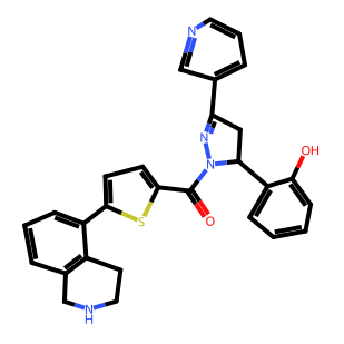 O=C(c1ccc(-c2cccc3c2CCNC3)s1)N1N=C(c2cccnc2)CC1c1ccccc1O